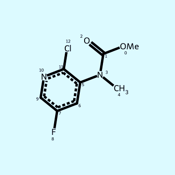 COC(=O)N(C)c1cc(F)cnc1Cl